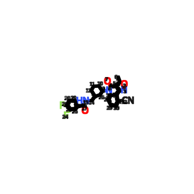 Cc1onc2c1c(=O)n(C1CCCC(CNC(=O)c3ccc(F)c(F)c3)C1)c1cccc(C#N)c21